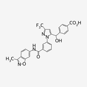 Cc1noc2cc(NC(=O)c3cccc(-n4nc(C(F)(F)F)cc4C(O)c4ccc(C(=O)O)cc4)c3)ccc12